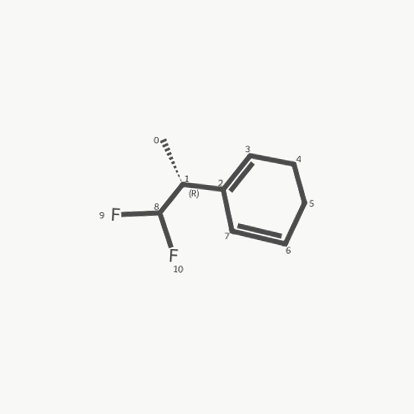 C[C@H](C1=CC[CH]C=C1)C(F)F